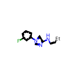 CC/C=C\Nc1cn(-c2cccc(F)c2)cn1